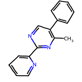 Cc1nc(-c2ccccn2)ncc1-c1ccccc1